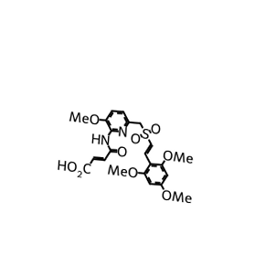 COc1cc(OC)c(/C=C/S(=O)(=O)Cc2ccc(OC)c(NC(=O)/C=C/C(=O)O)n2)c(OC)c1